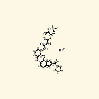 CC1(C)OC(=O)[C@@H](CC(=S)NC(=O)Nc2cccc(F)c2Oc2ccnc3cc(C(=O)N4CCCC4)sc23)O1.Cl